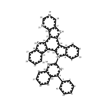 c1ccc(-c2nc(-n3c4ccccc4c4c5sc6cncnc6c5c5sc6ccccc6c5c43)nc3ccccc23)cc1